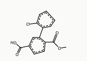 COC(=O)c1ccc(C(=O)O)cc1-c1ccccc1Cl